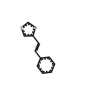 [c]1ccc(/C=C/c2cscn2)cc1